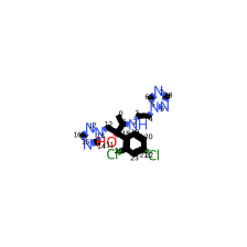 CC(NCCn1cncn1)C(O)(Cn1cncn1)c1ccc(Cl)cc1Cl